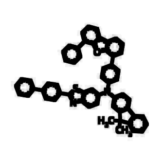 CC1(C)c2ccccc2-c2ccc(N(c3ccc(-c4cccc5c4oc4c(-c6ccccc6)cccc45)cc3)c3ccc4nc(-c5ccc(-c6ccccc6)cc5)sc4c3)cc21